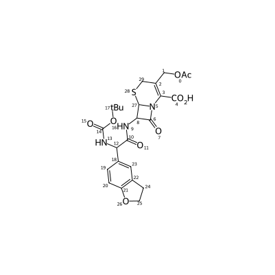 CC(=O)OCC1=C(C(=O)O)N2C(=O)C(NC(=O)C(NC(=O)OC(C)(C)C)c3ccc4c(c3)CCO4)C2SC1